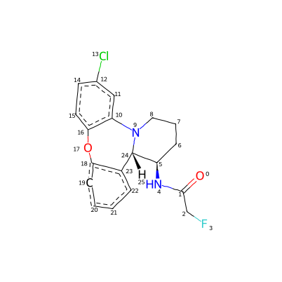 O=C(CF)N[C@@H]1CCCN2c3cc(Cl)ccc3Oc3ccccc3[C@@H]12